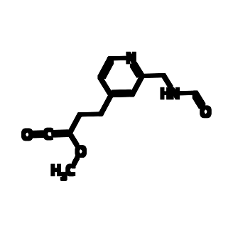 COC(=C=O)CCc1ccnc(CNC=O)c1